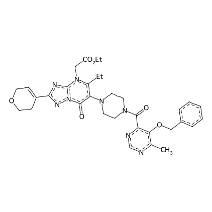 CCOC(=O)Cn1c(CC)c(N2CCN(C(=O)c3ncnc(C)c3OCc3ccccc3)CC2)c(=O)n2nc(C3=CCOCC3)nc12